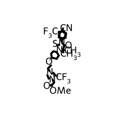 COC(=O)CN1CCN(CCO[C@H]2CC[C@H](N3C(=S)N(c4ccc(C#N)c(C(F)(F)F)c4)C(=O)C3(C)C)CC2)C[C@@H]1C(F)(F)F